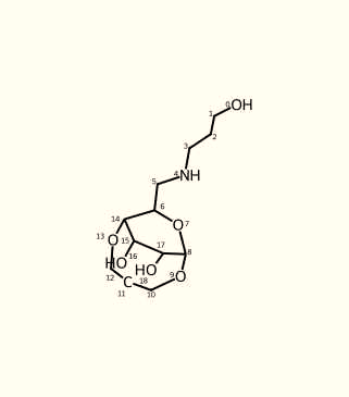 OCCCNCC1OC2OCCCOC1C(O)C2O